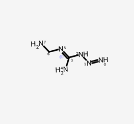 N=NN/C(N)=N/CN